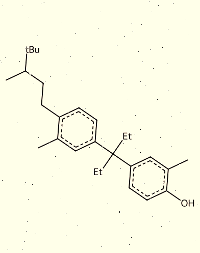 CCC(CC)(c1ccc(O)c(C)c1)c1ccc(CCC(C)C(C)(C)C)c(C)c1